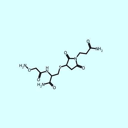 NOCC(=O)NC(CSC1CC(=O)N(CCC(N)=O)C1=O)C(N)=O